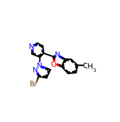 Cc1ccc2oc(-c3ccncc3-n3ccc(Br)n3)nc2c1